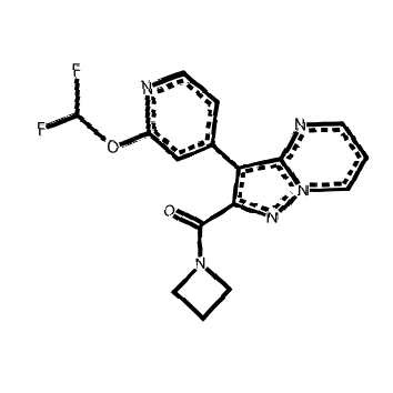 O=C(c1nn2cccnc2c1-c1ccnc(OC(F)F)c1)N1CCC1